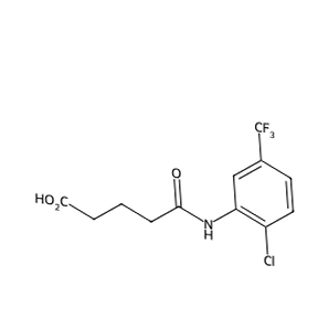 O=C(O)CCCC(=O)Nc1cc(C(F)(F)F)ccc1Cl